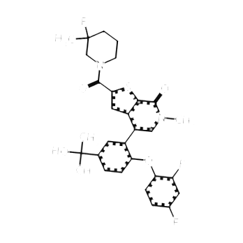 Cn1cc(-c2cc(C(C)(C)O)ccc2Oc2ccc(F)cc2F)c2cc(C(=O)N3CCCC(C)(F)C3)sc2c1=O